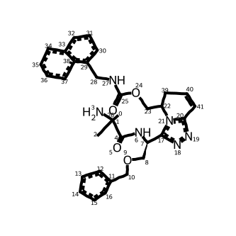 CC(C)(N)C(=O)N[C@H](COCc1ccccc1)c1nnc2n1C(COC(=O)NCc1cccc3ccccc13)CC=C2